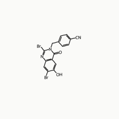 N#Cc1ccc(Cn2c(Br)nc3cc(Br)c(O)cc3c2=O)cc1